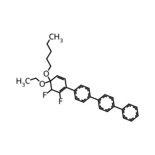 CCCCCOC1(OCC)C=CC(c2ccc(-c3ccc(-c4ccccc4)cc3)cc2)=C(F)C1F